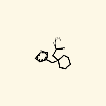 COC(=O)CC1(Cc2ccsc2)CCCCC1